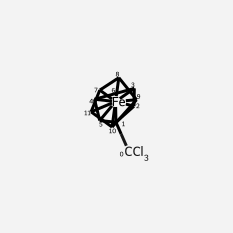 ClC(Cl)(Cl)[C]12[CH]3[CH]4[CH]5[CH]1[Fe]45321678[CH]2[CH]1[CH]6[CH]7[CH]28